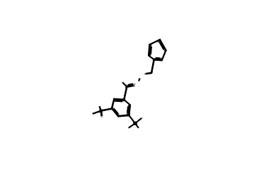 C/C(=N\OCc1ccccc1)c1cc(C(F)(F)F)cc(C(F)(F)F)c1